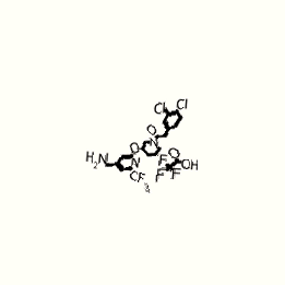 NCc1cc(O[C@H]2CCCN(C(=O)Cc3ccc(Cl)c(Cl)c3)C2)nc(C(F)(F)F)c1.O=C(O)C(F)(F)F